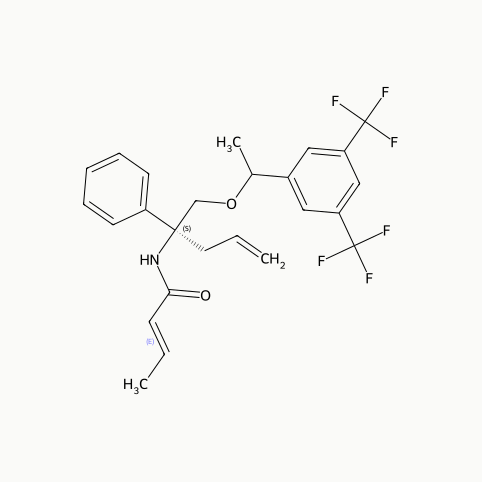 C=CC[C@](COC(C)c1cc(C(F)(F)F)cc(C(F)(F)F)c1)(NC(=O)/C=C/C)c1ccccc1